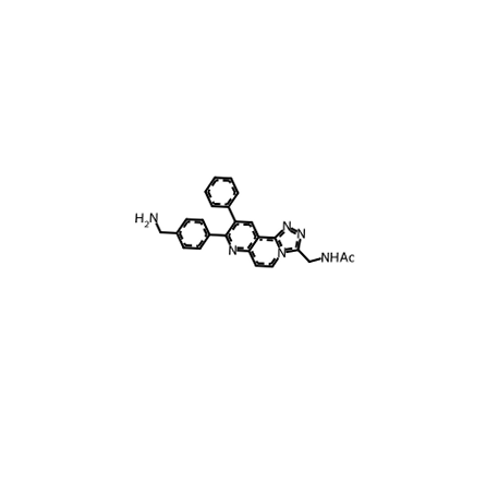 CC(=O)NCc1nnc2c3cc(-c4ccccc4)c(-c4ccc(CN)cc4)nc3ccn12